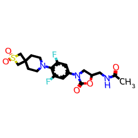 CC(=O)NCC1CN(c2cc(F)c(N3CCC4(CC3)CS(=O)(=O)C4)c(F)c2)C(=O)O1